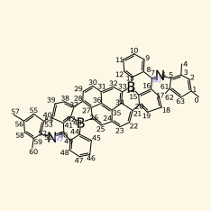 Cc1cc(C)c(/N=C2/c3ccccc3B3c4c2cccc4-c2ccc4cc5c6c(ccc7cc3c2c4c76)-c2cccc3c2B5c2ccccc2/C3=N/c2c(C)cc(C)cc2C)c(C)c1